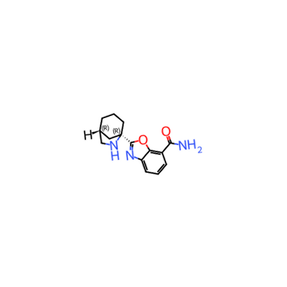 NC(=O)c1cccc2nc([C@]34CCC[C@@H](CN3)C4)oc12